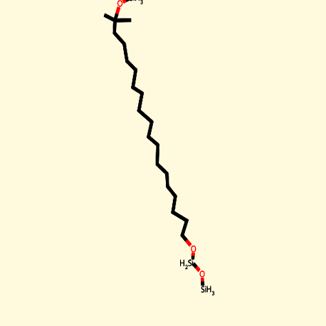 CC(C)(CCCCCCCCCCCCCCCCCO[SiH2]O[SiH3])O[SiH3]